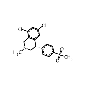 CN1Cc2c(Cl)cc(Cl)cc2[C@H](c2ccc(S(C)(=O)=O)cc2)C1